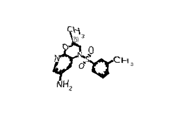 Cc1cccc(S(=O)(=O)N2C[C@H](C)Oc3ncc(N)cc32)c1